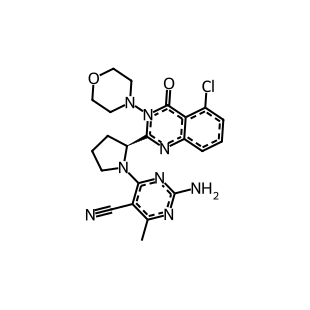 Cc1nc(N)nc(N2CCC[C@H]2c2nc3cccc(Cl)c3c(=O)n2N2CCOCC2)c1C#N